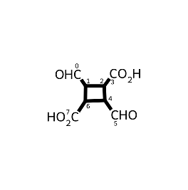 O=CC1C(C(=O)O)C(C=O)C1C(=O)O